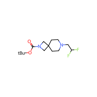 CC(C)(C)OC(=O)N1CC2(CCN(CC(F)F)CC2)C1